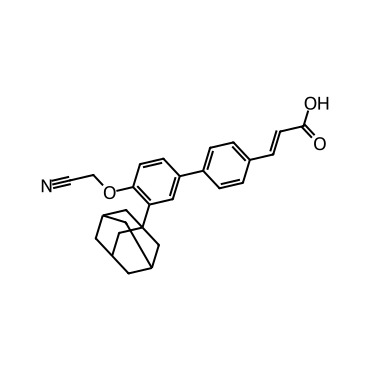 N#CCOc1ccc(-c2ccc(/C=C/C(=O)O)cc2)cc1C12CC3CC(CC(C3)C1)C2